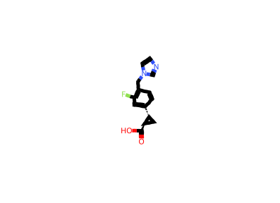 O=C(O)[C@@H]1C[C@H]1c1ccc(Cn2ccnc2)c(F)c1